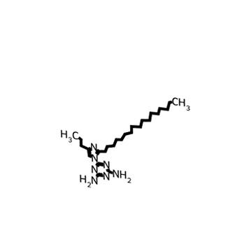 CCCCCCCCCCCCCCCCCc1nc(CCC)cn1-c1nc(N)nc(N)n1